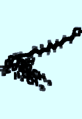 CCCCCCCCCCCCCC1(NC(=O)OC(C)(C)C)COC(C)(C)OC1